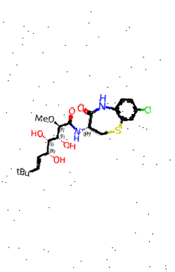 CO[C@@H](C(=O)N[C@H]1CSc2cc(Cl)ccc2NC1=O)[C@H](O)[C@@H](O)[C@H](O)C=CC(C)(C)C